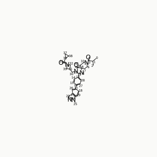 CC(C)C(=O)N1CCC2(CC1)N=C(c1ccc(-c3ccc4c(cnn4C)c3)cc1)N(CC1CN(C(=O)C3CC3)C1)C2=O